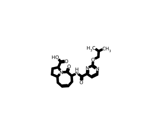 CC(C)COc1nccc(C(=O)NC2CC=CCC3CCC(C(=O)O)N3C2=O)n1